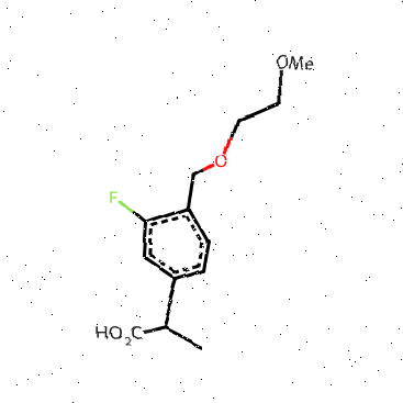 COCCOCc1ccc(C(C)C(=O)O)cc1F